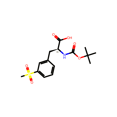 CC(C)(C)OC(=O)N[C@@H](Cc1cccc(S(C)(=O)=O)c1)C(=O)O